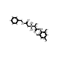 CC[N+](CC)(CC(=O)OCc1ccccc1)C(C)C(=O)Nc1c(C)cc(C)cc1C